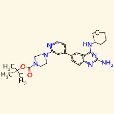 CC(C)(C)OC(=O)N1CCN(c2cc(-c3ccc4nc(N)nc(NC5CCCCC5)c4c3)ccn2)CC1